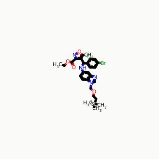 CCOC(=O)c1noc(C)c1C(Nc1ccc2c(c1)ncn2COCC[Si](C)(C)C)c1ccc(Br)cc1F